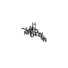 C=CCC(=C)C(=O)c1cnc(Nc2ccc(C3CCC(N4CCN(C)CC4)CC3)cc2)nc1Nc1cccc(C(C)(C)O)n1